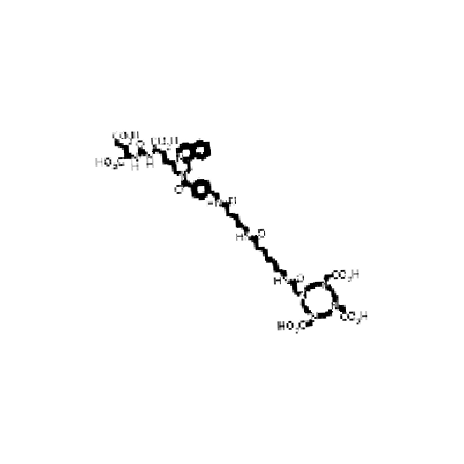 O=C(O)CC[C@@H](NC(=O)N[C@H](CCCCN(Cc1nccc2ccccc12)C(=O)c1ccc(CNC(=O)CCCCNC(=O)CCCCCCNC(=O)CN2CCN(CC(=O)O)CCN(CC(=O)O)CCN(CC(=O)O)CC2)cc1)C(=O)O)C(=O)O